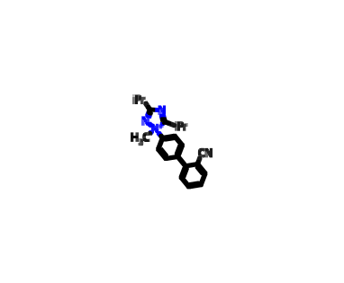 CC(C)C1=N[N+](C)(c2ccc(-c3ccccc3C#N)cc2)C(C(C)C)=N1